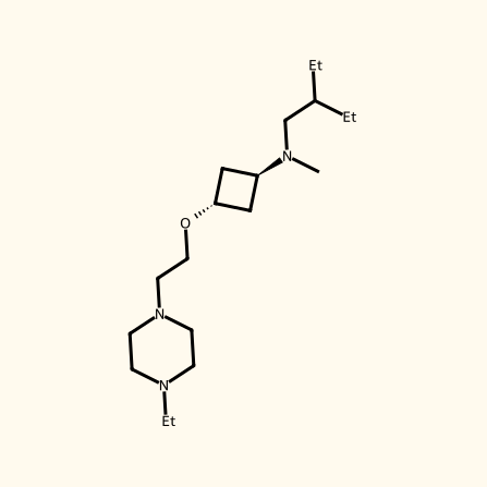 CCC(CC)CN(C)[C@H]1C[C@H](OCCN2CCN(CC)CC2)C1